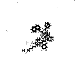 NCCCC[C@H](NC(=O)C[C@H](O)[C@H](CC1CCCCC1)NC(=O)[C@H](Cc1cscn1)NC(=O)[C@H](Cc1cccc2ccccc12)NC(=O)c1cccnc1)C(N)=O